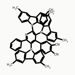 Cc1ccc2c(c1)c1cc(C)ccc1n2-c1nc(-c2ccccc2)c(-n2c3ccc(C)cc3c3cc(C)ccc32)c(-c2ccc(C#N)c(C#N)c2)c1-n1c2ccc(C)cc2c2cc(C)ccc21